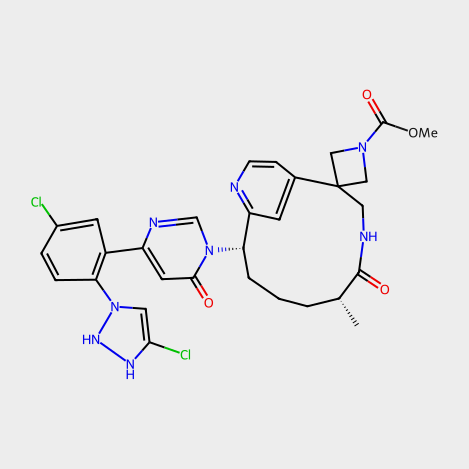 COC(=O)N1CC2(CNC(=O)[C@H](C)CCC[C@H](n3cnc(-c4cc(Cl)ccc4N4C=C(Cl)NN4)cc3=O)c3cc2ccn3)C1